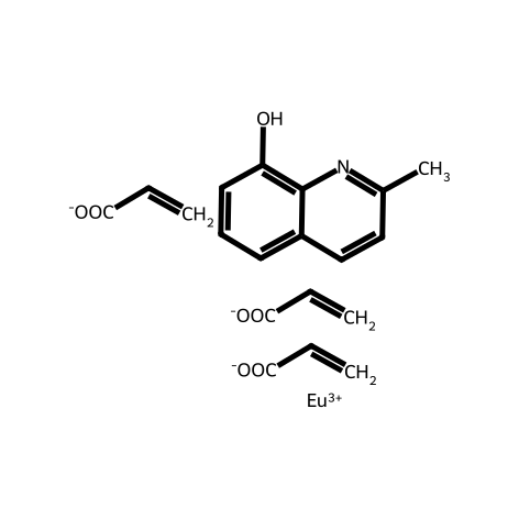 C=CC(=O)[O-].C=CC(=O)[O-].C=CC(=O)[O-].Cc1ccc2cccc(O)c2n1.[Eu+3]